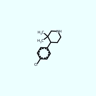 CC1(C)CNCCC1c1ccc(Cl)cc1